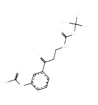 CC(C)(C)OC(=O)NCCC(=O)c1cccc(OC(N)=O)c1